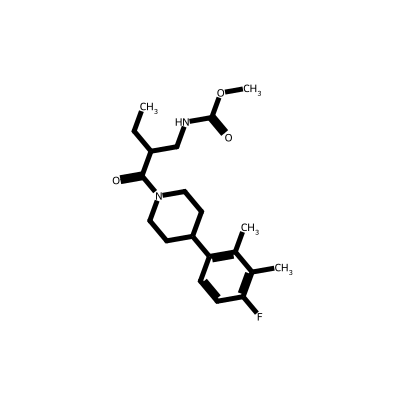 CCC(CNC(=O)OC)C(=O)N1CCC(c2ccc(F)c(C)c2C)CC1